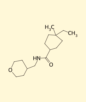 CCC1(C)CCC(C(=O)NCC2CCOCC2)CC1